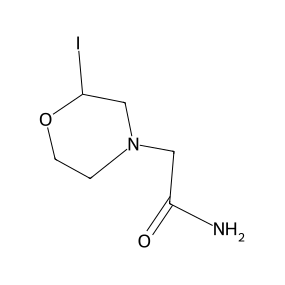 NC(=O)CN1CCOC(I)C1